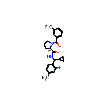 O=C(NC(c1ccc(C(F)(F)F)cc1F)C1CC1)[C@H]1CCCN1C(=O)c1cccc(C(F)(F)F)c1